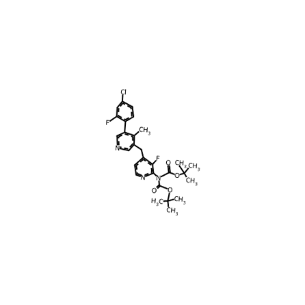 Cc1c(Cc2ccnc(N(C(=O)OC(C)(C)C)C(=O)OC(C)(C)C)c2F)cncc1-c1ccc(Cl)cc1F